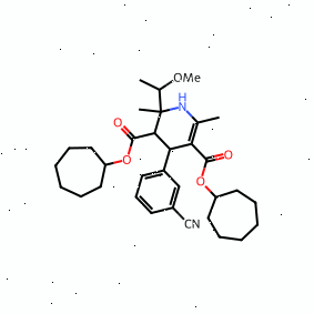 COC(C)C1(C)NC(C)=C(C(=O)OC2CCCCCC2)C(c2cccc(C#N)c2)C1C(=O)OC1CCCCCC1